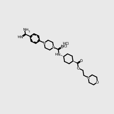 Cl.Cl.N=C(N)c1ccc(N2CCN(C(=O)N[C@H]3CC[C@H](C(=O)OCCN4CCOCC4)CC3)CC2)cc1